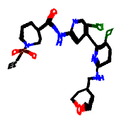 CCS(=O)(=O)N1CCCC(C(=O)Nc2cc(-c3nc(NCC4CCOCC4)ccc3Cl)c(Cl)cn2)C1